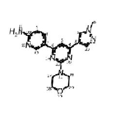 Cn1cc(-c2cc(-c3ccc(N)nc3)nc(N3CCOCC3)n2)cn1